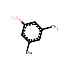 Bc1cc(C)cc(C(C)(C)C)c1